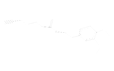 C#CCOCCC(=O)NCCc1ccc(OC)c(OC)c1